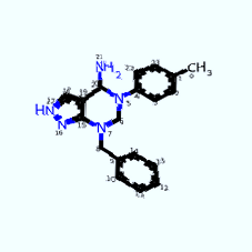 Cc1ccc(N2CN(Cc3ccccc3)c3n[nH]cc3C2N)cc1